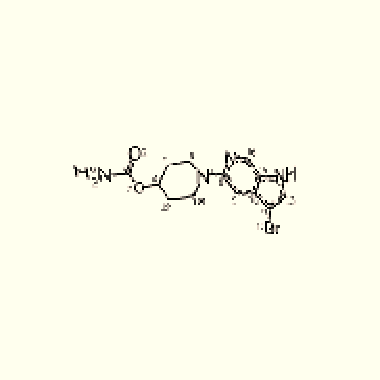 NC(=O)OC1CCN(c2cc3c(Br)c[nH]c3cn2)CC1